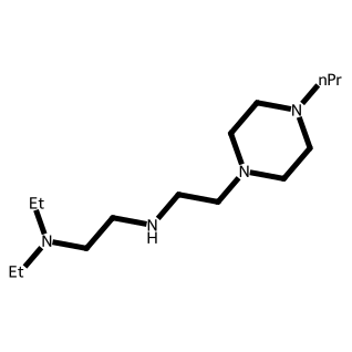 CCCN1CCN(CCNCCN(CC)CC)CC1